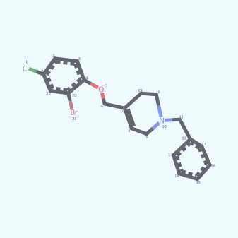 Clc1ccc(OCC2=CCN(Cc3ccccc3)CC2)c(Br)c1